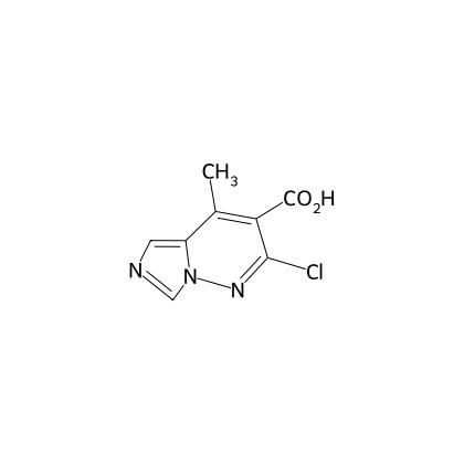 Cc1c(C(=O)O)c(Cl)nn2cncc12